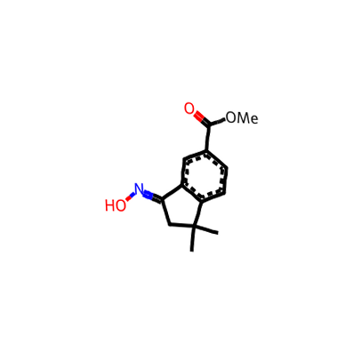 COC(=O)c1ccc2c(c1)C(=NO)CC2(C)C